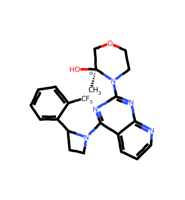 C[C@]1(O)COCCN1c1nc(N2CCC2c2ccccc2C(F)(F)F)c2cccnc2n1